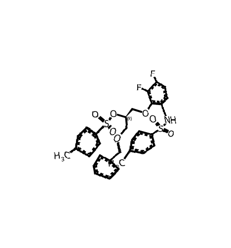 Cc1ccc(S(=O)(=O)Nc2ccc(F)c(F)c2OC[C@@H](COCc2ccccc2)OS(=O)(=O)c2ccc(C)cc2)cc1